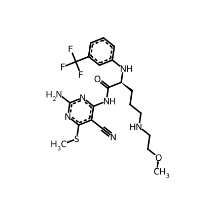 COCCNCCC[C@H](Nc1cccc(C(F)(F)F)c1)C(=O)Nc1nc(N)nc(SC)c1C#N